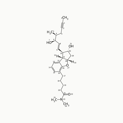 CC#CC[C@H](C)[C@H](O)/C=C/[C@@H]1[C@H]2c3cccc(CCCCC(=O)N(C)C)c3O[C@H]2C[C@H]1O